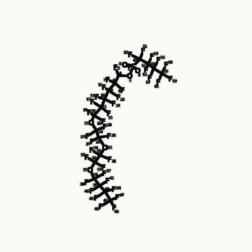 O=S(=O)(OC(F)C(F)(F)C(F)(F)C(F)(F)C(F)(F)C(F)(F)OC(F)(F)C(F)(F)OC(F)(F)C(F)(F)OC(F)(F)C(F)(F)C(F)(F)C(F)(F)F)C(F)(F)C(F)(F)C(F)(F)C(F)(F)F